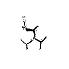 CC(C)N(C(C)C)C(C)PCl